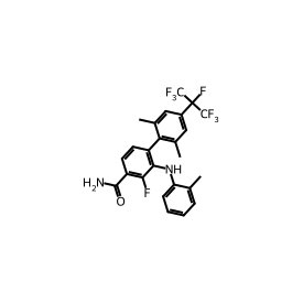 Cc1ccccc1Nc1c(-c2c(C)cc(C(F)(C(F)(F)F)C(F)(F)F)cc2C)ccc(C(N)=O)c1F